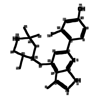 Cc1n[nH]c2nc(-c3ccc(O)cc3F)cc(CN3CC(C)(C)NCC3C)c12